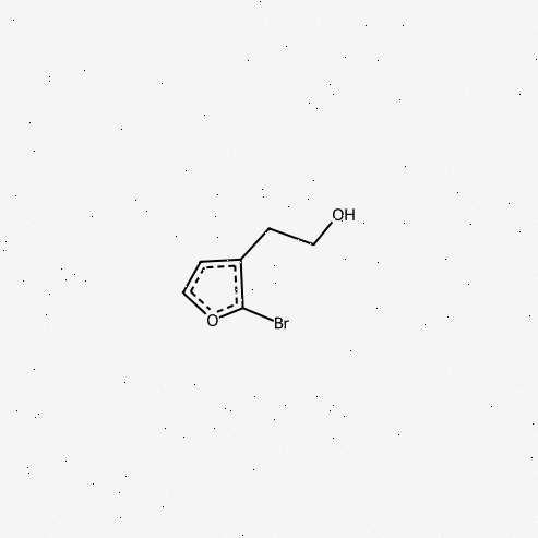 OCCc1ccoc1Br